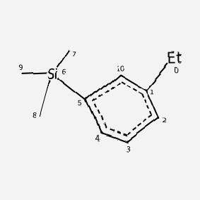 CCc1cccc([Si](C)(C)C)c1